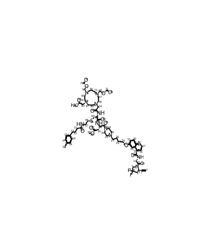 C#C[C@H]1CC(F)(F)CN1C(=O)CNC(=O)c1ccnc2ccc(OCCCCN3CCN(C(=O)[C@H](CC(=O)OC)NC(=O)[C@H](CSCCNC(=O)CCCc4ccc(I)cc4)NC(=O)CN4CCN(COC=O)CCN(COC=O)CCN(CC(=O)O)CC4)CC3)cc12